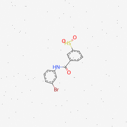 O=C(Nc1cccc(Br)c1)c1cccc([SH](=O)=O)c1